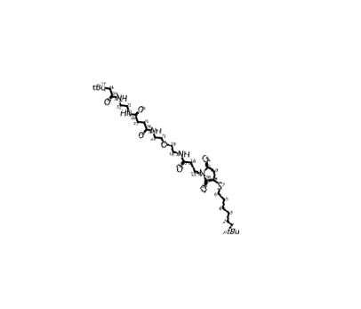 CC(C)(C)CCCCCCSC1CC(=O)N(CCC(=O)NCCOCCNC(=O)CCC(=O)NCCNC(=O)CC(C)(C)C)C1=O